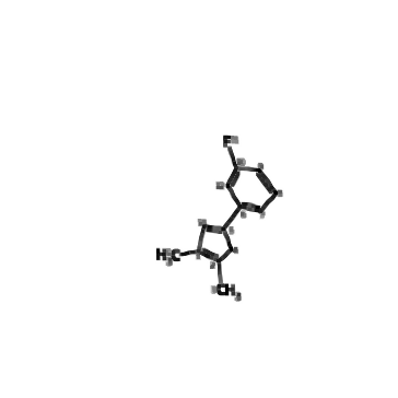 CC1=C(C)CC(c2cccc(F)c2)=C1